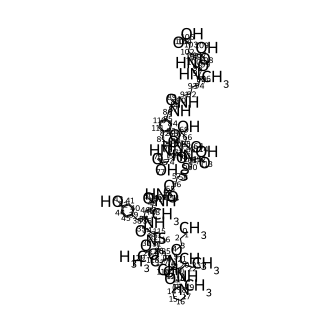 CCCCOCN(C(=O)[C@@H](NC(=O)[C@H]1CCCCN1C)C(C)CC)[C@H](C[C@@H](OC(C)=O)c1nc(C(=O)N[C@@H](Cc2ccc(O)cc2)C[C@H](C)C(=O)NNC(=O)OCCSSC[C@H](NC(=O)[C@H](CC(=O)O)NC(=O)[C@H](CC(=O)O)NC(=O)Cc2ccc(CNC(=O)NCCCC[C@@H](C)NC(=O)N[C@@H](CCC(=O)O)C(=O)O)cc2)C(=O)O)cs1)C(C)C